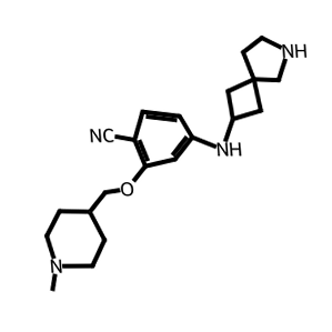 CN1CCC(COc2cc(NC3CC4(CCNC4)C3)ccc2C#N)CC1